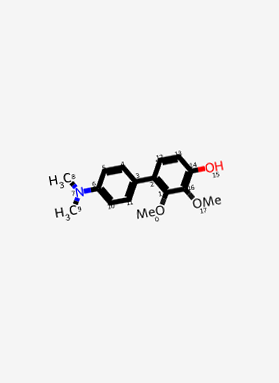 COc1c(-c2ccc(N(C)C)cc2)[c]cc(O)c1OC